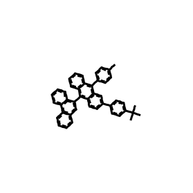 Cc1ccc(-c2c3ccccc3c(-c3cc4ccccc4c4ccccc34)c3ccc(-c4ccc(C(C)(C)C)cc4)cc23)cc1